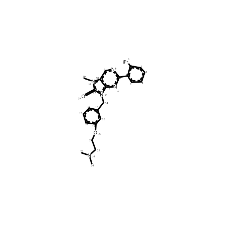 CC(C)c1ccccc1-c1ncc2c(n1)n(Cc1cccc(OCCN(C)C)c1)c(=O)n2C